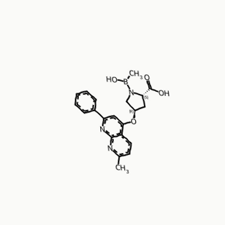 CB(O)N1C[C@H](Oc2cc(-c3ccccc3)nc3nc(C)ccc23)C[C@H]1C(=O)O